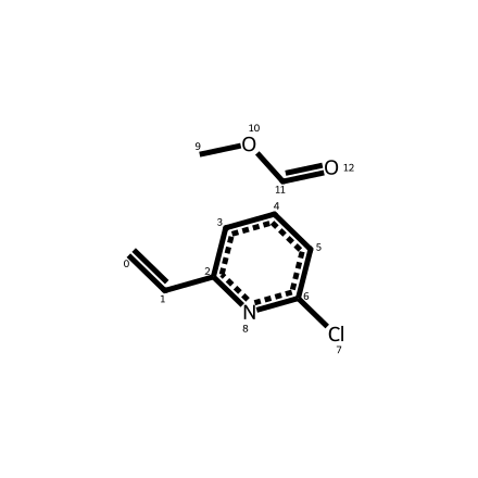 C=Cc1cccc(Cl)n1.COC=O